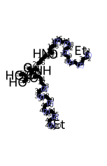 CC/C=C\C/C=C\C/C=C\C/C=C\C/C=C\C/C=C\CCC(=O)NCCCC[C@H](NC(=O)CC/C=C\C/C=C\C/C=C\C/C=C\C/C=C\C/C=C\CC)C(=O)OC(CO)CO